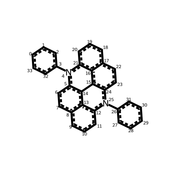 c1ccc(-n2c3ccc4cccc5c4c3-c3c4c(cccc42)ccc3n5-c2ccccc2)cc1